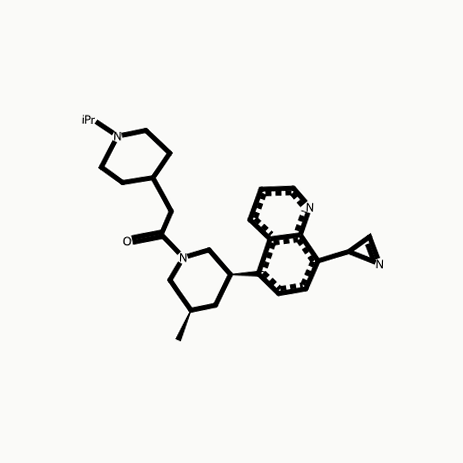 CC(C)N1CCC(CC(=O)N2C[C@H](C)C[C@H](c3ccc(C4C=N4)c4ncccc34)C2)CC1